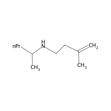 C=C(C)CCNC(C)CCC